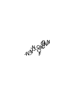 Cc1ncc(-c2cc(F)cc(-c3ccc(N(C=O)/C=C\N(C)C)c(Cl)c3)c2O)cc1N1CCCN(C(C)(C)C)CC1